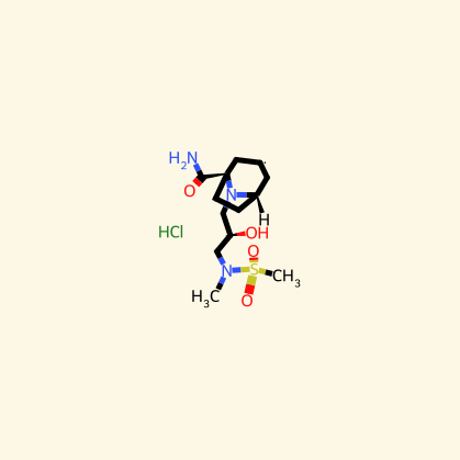 CN(C[C@H](O)CN1[C@@H]2C[CH]C[C@@]1(C(N)=O)CC2)S(C)(=O)=O.Cl